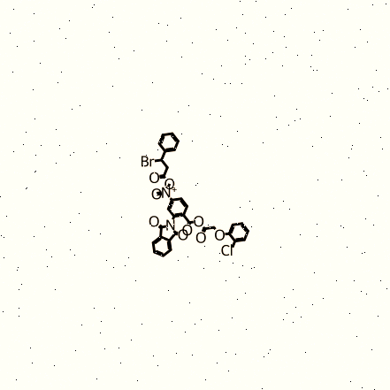 O=C(COc1ccccc1Cl)OC(=O)c1ccc([N+](=O)OC(=O)CC(Br)c2ccccc2)cc1N1C(=O)c2ccccc2C1=O